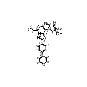 CCc1nc2ncn(CP(=O)(O)O)c2c2nc(-c3ccc(-c4ccccc4)cc3)nn12